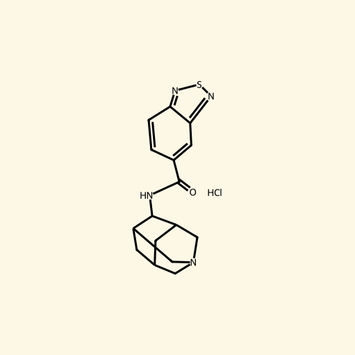 Cl.O=C(NC1C2CC3CC1CN(C3)C2)c1ccc2nsnc2c1